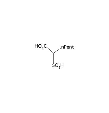 CCCCC[C](C(=O)O)S(=O)(=O)O